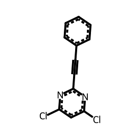 Clc1cc(Cl)nc(C#Cc2ccccc2)n1